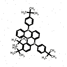 CC(C)(C)c1ccc(N2c3ccccc3B3c4c2cccc4N(c2ccc(C(C)(C)C)cc2)c2ccc(C(C)(C)C)c(C(C)(C)C)c23)cc1